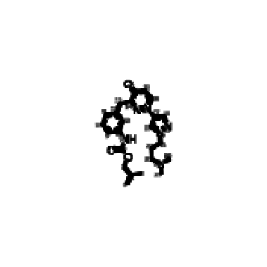 CC(C)COC(=O)Nc1cccc(Cc2nn(-c3cnn(CCCN(C)C)c3)ccc2=O)c1